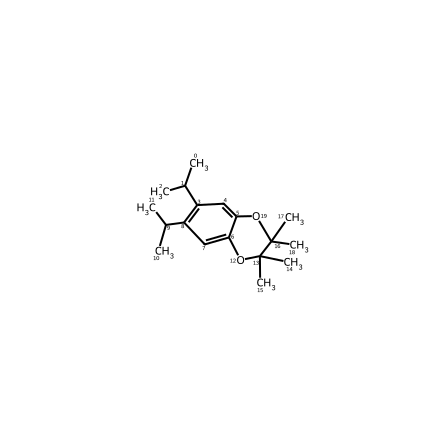 CC(C)c1cc2c(cc1C(C)C)OC(C)(C)C(C)(C)O2